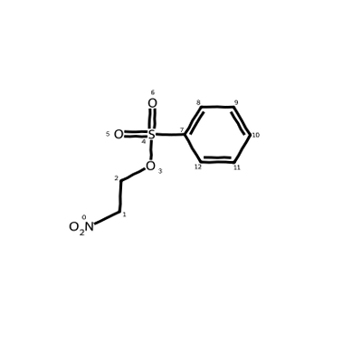 O=[N+]([O-])CCOS(=O)(=O)c1ccccc1